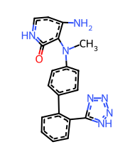 CN(c1ccc(-c2ccccc2-c2nnn[nH]2)cc1)c1c(N)cc[nH]c1=O